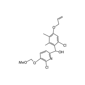 C=CCOc1cc(Cl)c(C(O)c2ccc(OCOC)c(Cl)n2)c(C)c1C